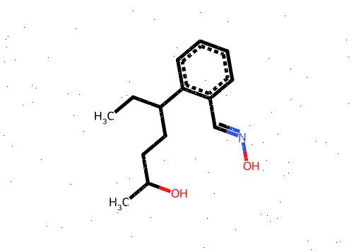 CCC(CCC(C)O)c1ccccc1C=NO